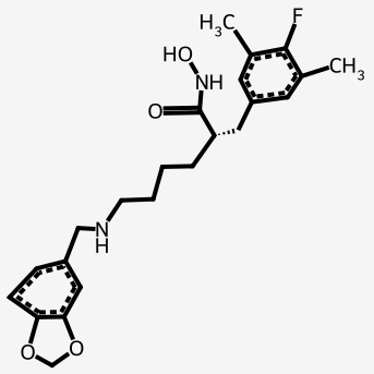 Cc1cc(C[C@H](CCCCNCc2ccc3c(c2)OCO3)C(=O)NO)cc(C)c1F